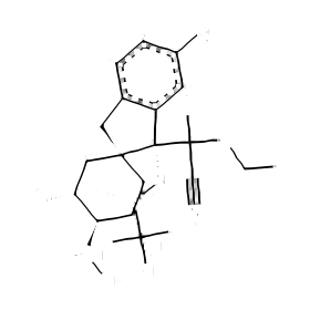 CCOC(C)(C#N)[C@]1(N[S@@+]([O-])C(C)(C)C)c2cc(Br)ccc2C[C@@]12C[C@@H](C)[C@H](OC)[C@@H](C)C2